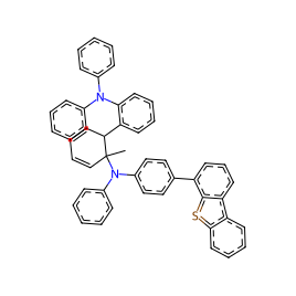 CC1(N(c2ccccc2)c2ccc(-c3cccc4c3sc3ccccc34)cc2)C=CC=CC1c1ccccc1N(c1ccccc1)c1ccccc1